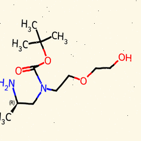 C[C@@H](N)CN(CCOCCO)C(=O)OC(C)(C)C